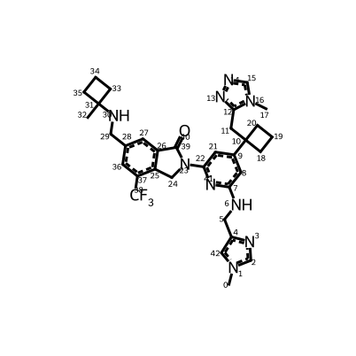 Cn1cnc(CNc2cc(C3(Cc4nncn4C)CCC3)cc(N3Cc4c(cc(CNC5(C)CCC5)cc4C(F)(F)F)C3=O)n2)c1